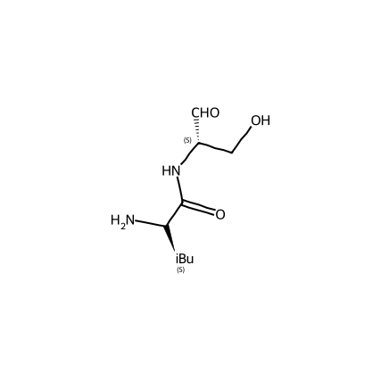 CC[C@H](C)C(N)C(=O)N[C@H](C=O)CO